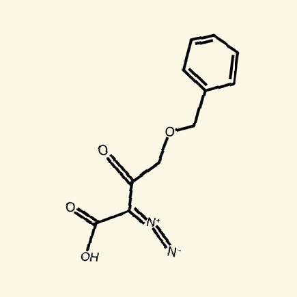 [N-]=[N+]=C(C(=O)O)C(=O)COCc1ccccc1